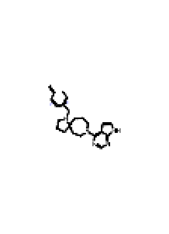 C=C/C=C\C(=C/C)CN1CCCC12CCCN(c1ncnc3[nH]ccc13)CC2